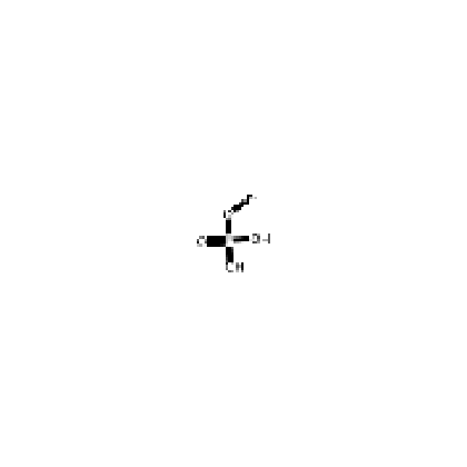 O=P(O)(O)[O][Pr]